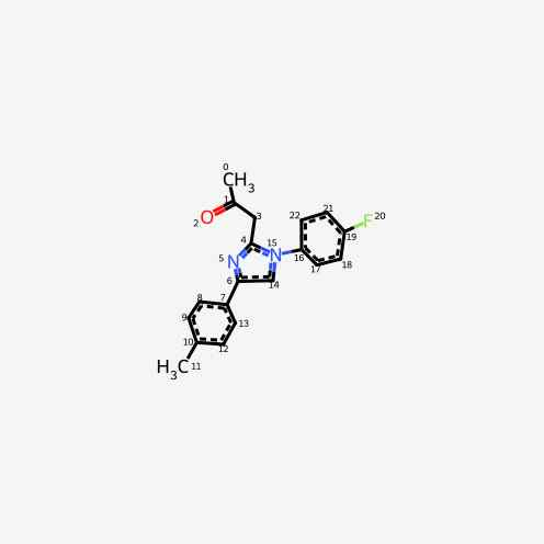 CC(=O)Cc1nc(-c2ccc(C)cc2)cn1-c1ccc(F)cc1